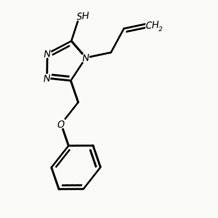 C=CCn1c(S)nnc1COc1ccccc1